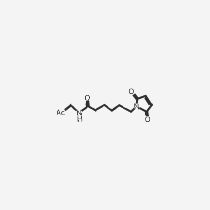 CC(=O)CNC(=O)CCCCCN1C(=O)C=CC1=O